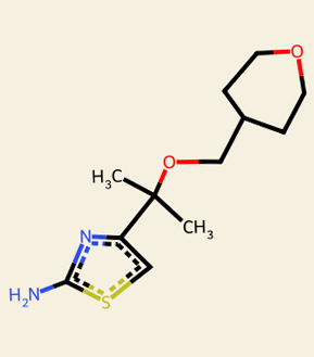 CC(C)(OCC1CCOCC1)c1csc(N)n1